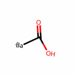 O=[C](O)[Ba]